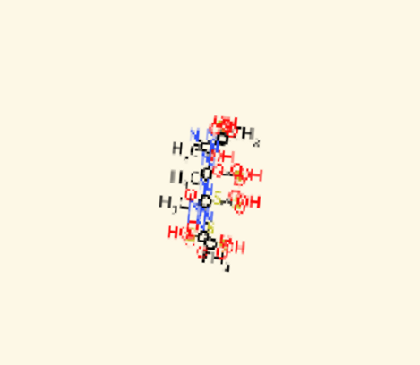 COc1ccc2c(nc3c(C#N)c(C)c(N=Nc4cc(C)c(N=Nc5cc(NC(C)=O)c(N=Nc6nc7c(S(=O)(=O)O)cc8c(OC)cc(S(=O)(=O)O)cc8c7s6)cc5SCCCS(=O)(=O)O)cc4OCCCS(=O)(=O)O)c(O)n32)c1S(=O)(=O)O